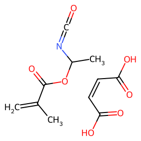 C=C(C)C(=O)OC(C)N=C=O.O=C(O)/C=C\C(=O)O